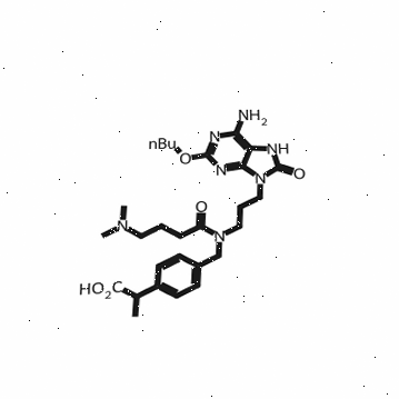 CCCCOc1nc(N)c2[nH]c(=O)n(CCCN(Cc3ccc(C(C)C(=O)O)cc3)C(=O)CCCN(C)C)c2n1